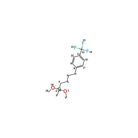 CO[Si](C)(CCCCc1ccc(C(F)(F)F)cc1)OC